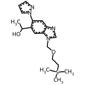 CC(O)c1cc2c(cc1-n1cccn1)ncn2COCCS(C)(C)C